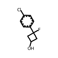 OC1CC(F)(c2ccc(Cl)cc2)C1